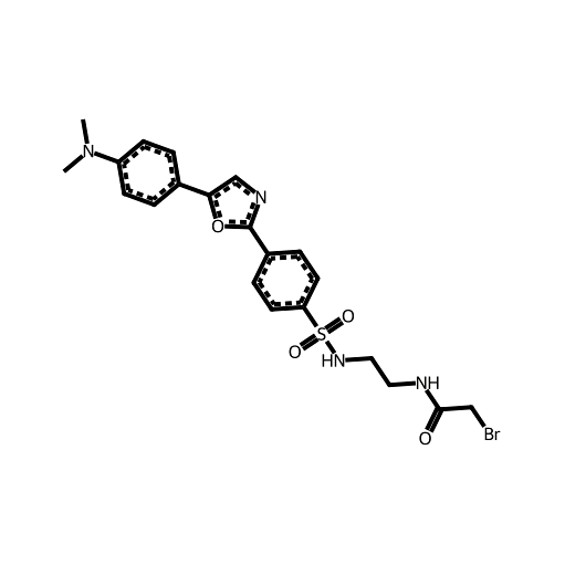 CN(C)c1ccc(-c2cnc(-c3ccc(S(=O)(=O)NCCNC(=O)CBr)cc3)o2)cc1